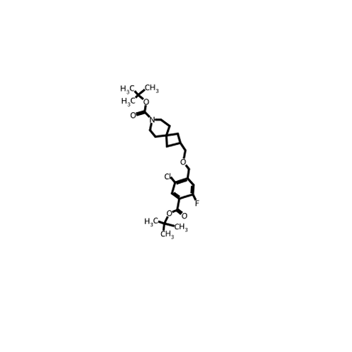 CC(C)(C)OC(=O)c1cc(Cl)c(COCC2CC3(CCN(C(=O)OC(C)(C)C)CC3)C2)cc1F